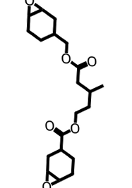 CC(CCOC(=O)C1CCC2OC2C1)CC(=O)OCC1CCC2OC2C1